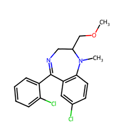 COCC1CN=C(c2ccccc2Cl)c2cc(Cl)ccc2N1C